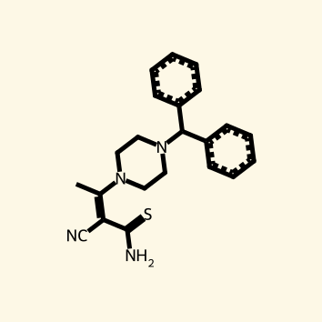 CC(=C(C#N)C(N)=S)N1CCN(C(c2ccccc2)c2ccccc2)CC1